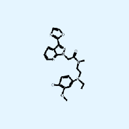 CCN(CCN(C)C(=O)Cn1nc(-c2ncco2)c2cccnc21)c1ccc(Cl)c(OC)c1